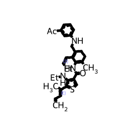 C=C/C=C(\C)c1scc(C(=O)NC2=C(C)CCC(CNc3cccc(C(C)=O)c3)=C2/C=C\CC)c1NCC